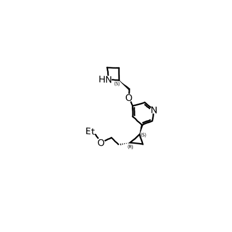 CCOCC[C@H]1C[C@@H]1c1cncc(OC[C@@H]2CCN2)c1